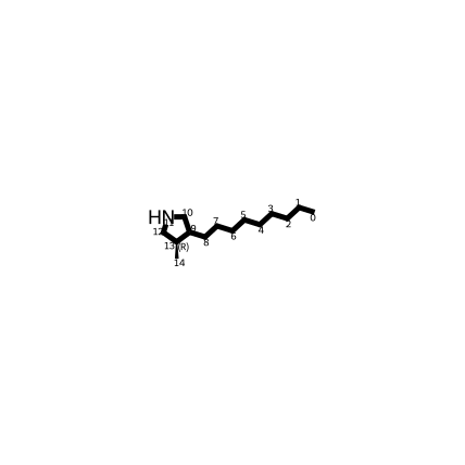 CCCCCCCCCC1CNC[C@@H]1C